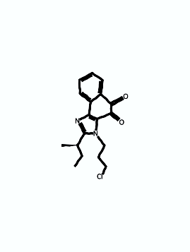 CC[C@@H](C)c1nc2c(n1CCCCl)C(=O)C(=O)c1ccccc1-2